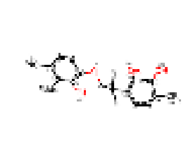 CC(C)(C)c1c(C#N)ccc(OCC(C)(C)c2ccc(C(F)(F)F)c(O)c2O)c1O